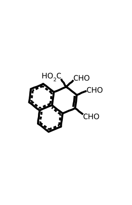 O=CC1=C(C=O)C(C=O)(C(=O)O)c2cccc3cccc1c23